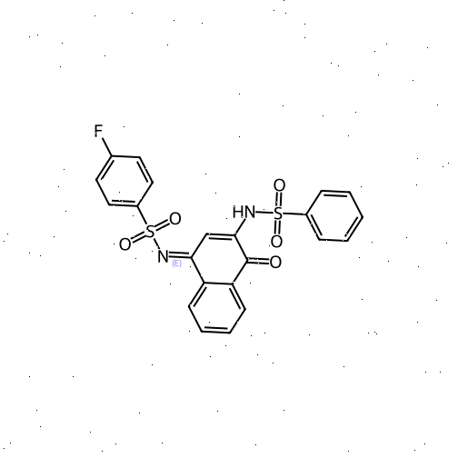 O=C1C(NS(=O)(=O)c2ccccc2)=C/C(=N\S(=O)(=O)c2ccc(F)cc2)c2ccccc21